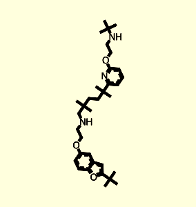 CC(C)(CCC(C)(C)c1cccc(OCCNC(C)(C)C)n1)CNCCOc1ccc2oc(C(C)(C)C)cc2c1